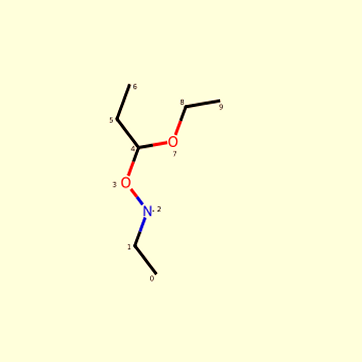 CC[N]OC(CC)OCC